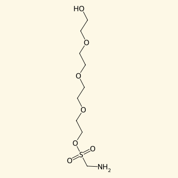 NCS(=O)(=O)OCCOCCOCCOCCO